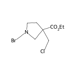 CCOC(=O)C1(CCl)CCN(Br)C1